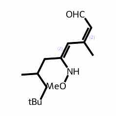 CON/C(=C\C(C)=C/C=O)CC(C)CC(C)(C)C